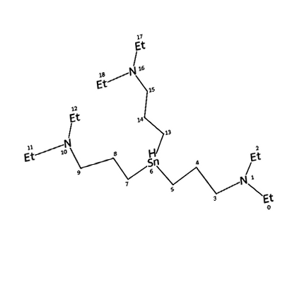 CCN(CC)CC[CH2][SnH]([CH2]CCN(CC)CC)[CH2]CCN(CC)CC